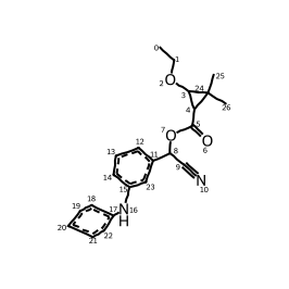 CCOC1C(C(=O)OC(C#N)c2cccc(Nc3ccccc3)c2)C1(C)C